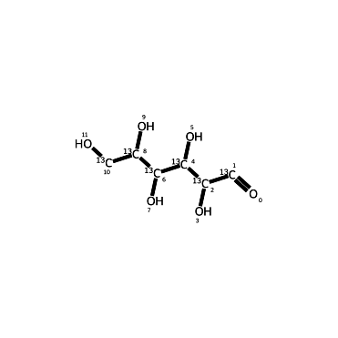 O=[13CH][13CH](O)[13CH](O)[13CH](O)[13CH](O)[13CH2]O